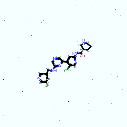 O=C(Nc1cc(-c2cncc(NCc3cncc(F)c3)n2)c(Cl)cn1)[C@@H]1CCCNC1